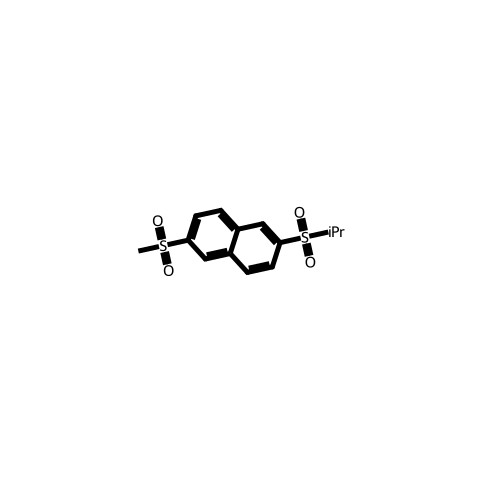 CC(C)S(=O)(=O)c1ccc2cc(S(C)(=O)=O)ccc2c1